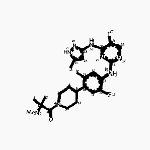 CNC(C)(C)C(=O)N1CCC(c2cc(F)c(Nc3ncc(I)c(Nc4cc(C)[nH]n4)n3)cc2C)CC1